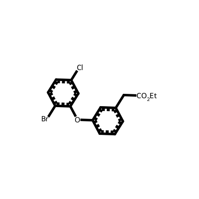 CCOC(=O)Cc1cccc(Oc2cc(Cl)ccc2Br)c1